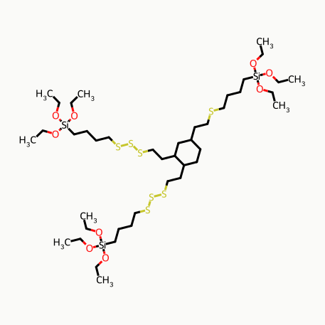 CCO[Si](CCCCSCCC1CCC(CCSSSCCCC[Si](OCC)(OCC)OCC)C(CCSSSCCCC[Si](OCC)(OCC)OCC)C1)(OCC)OCC